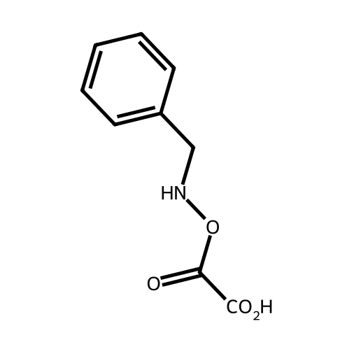 O=C(O)C(=O)ONCc1ccccc1